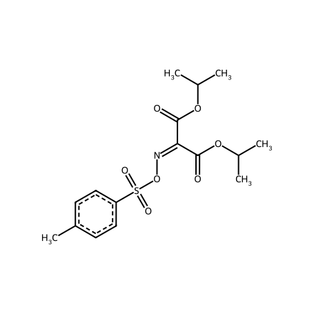 Cc1ccc(S(=O)(=O)ON=C(C(=O)OC(C)C)C(=O)OC(C)C)cc1